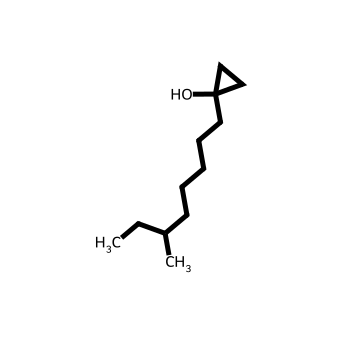 CCC(C)CCCCCC1(O)CC1